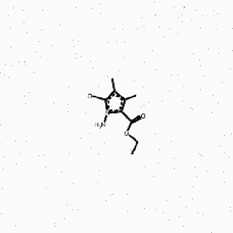 CCOC(=O)c1c(C)c(C)c(Cl)n1N